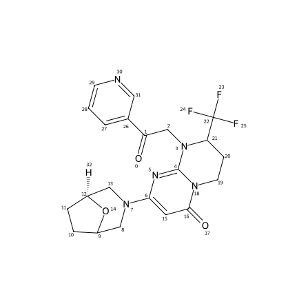 O=C(CN1c2nc(N3CC4CC[C@@H](C3)O4)cc(=O)n2CCC1C(F)(F)F)c1cccnc1